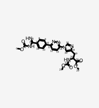 COC(=O)NC(=N)c1ccc(-c2ccc(-n3cnc(CC(NC(=O)OC)C(=O)OC)c3)nn2)cc1